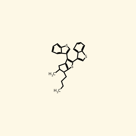 CCCCC1c2sc(-c3csc4ccccc34)c(-c3csc4ccccc34)c2CC1C